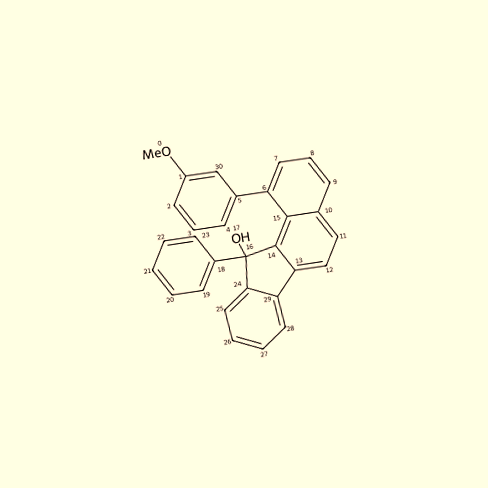 COc1cccc(-c2cccc3ccc4c(c23)C(O)(c2ccccc2)c2ccccc2-4)c1